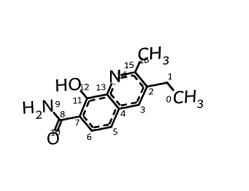 CCc1cc2ccc(C(N)=O)c(O)c2nc1C